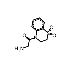 NCC(=O)N1CCS(=O)(=O)c2ccccc21